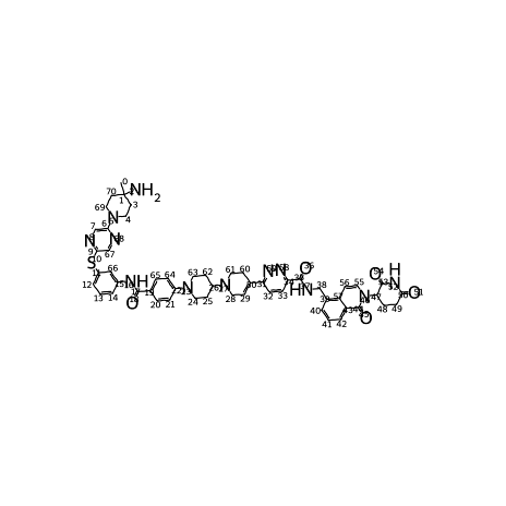 CC1(N)CCN(c2cnc(Sc3cccc(NC(=O)c4ccc(N5CCC(N6CC=C(c7ccc(C(=O)NCc8cccc9c(=O)n(C%10CCC(=O)NC%10=O)ccc89)nn7)CC6)CC5)cc4)c3)cn2)CC1